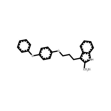 CCOC(=O)c1[nH]c2ccccc2c1CCCOc1ccc(Oc2ccccc2)cc1